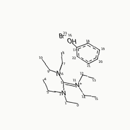 CCN(CC)C(N(CC)CC)=[N+](CC)CC.Oc1ccccc1.[Br-]